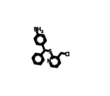 Bc1ccc(C(Sc2ncccc2CCl)c2ccccc2)cc1